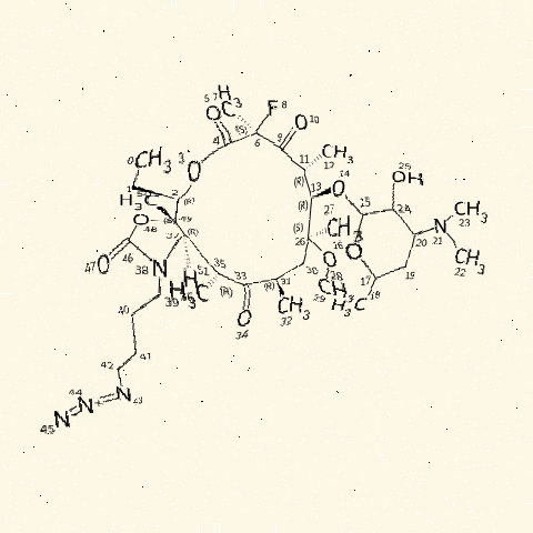 CC[C@H]1OC(=O)[C@@](C)(F)C(=O)[C@H](C)[C@@H](OC2OC(C)CC(N(C)C)C2O)[C@@](C)(OC)C[C@@H](C)C(=O)[C@H](C)[C@H]2N(CCCCN=[N+]=[N-])C(=O)O[C@]12C